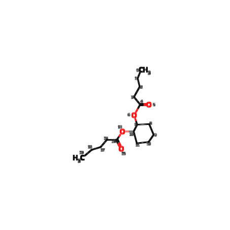 CCCCC(=O)OC1CCCCC1OC(=O)CCCC